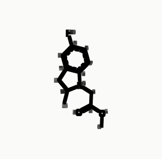 COC(=O)CN1c2ccc(F)cc2CC1C